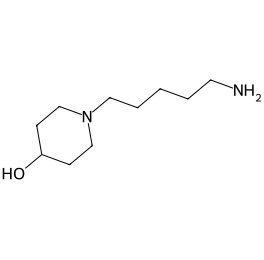 NCCCCCN1CCC(O)CC1